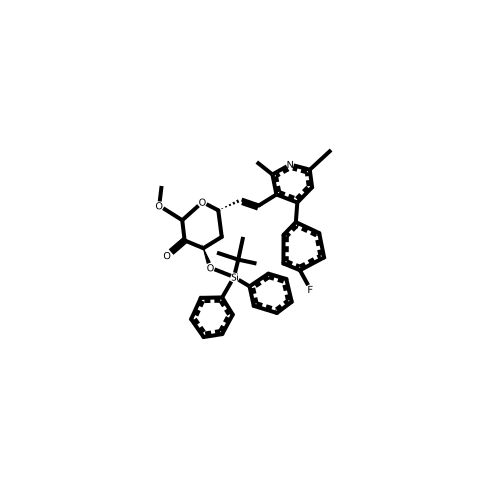 COC1O[C@H](C=Cc2c(-c3ccc(F)cc3)cc(C)nc2C)C[C@@H](O[Si](c2ccccc2)(c2ccccc2)C(C)(C)C)C1=O